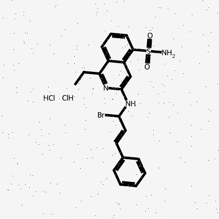 CCc1nc(NC(Br)C=Cc2ccccc2)cc2c(S(N)(=O)=O)cccc12.Cl.Cl